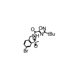 CC(C)(C)c1noc(C(=O)NCc2ccc(Br)cc2S(C)(=O)=O)n1